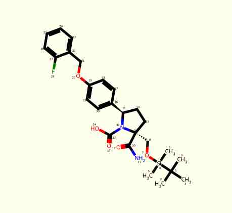 CC(C)(C)[Si](C)(C)OC[C@@]1(C(N)=O)CC[C@H](c2ccc(OCc3ccccc3F)cc2)N1C(=O)O